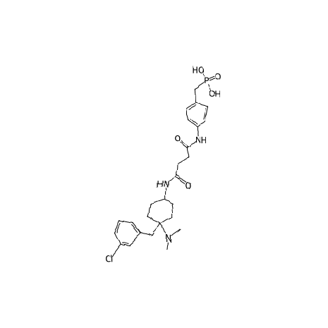 CN(C)C1(Cc2cccc(Cl)c2)CCC(NC(=O)CCC(=O)Nc2ccc(CP(=O)(O)O)cc2)CC1